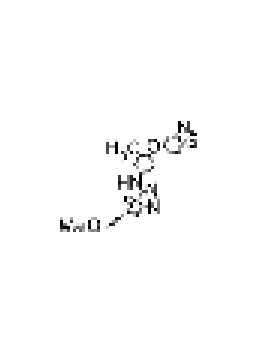 COCC#Cc1cc2ncnc(Nc3ccc(Oc4ccc5scnc5c4)c(C)c3)c2s1